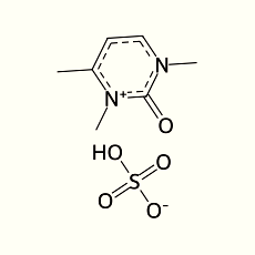 Cc1ccn(C)c(=O)[n+]1C.O=S(=O)([O-])O